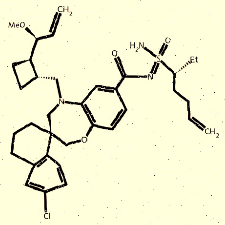 C=CCC[C@@H](CC)S(N)(=O)=NC(=O)c1ccc2c(c1)N(C[C@@H]1CC[C@H]1[C@H](C=C)OC)C[C@@]1(CCCc3cc(Cl)ccc31)CO2